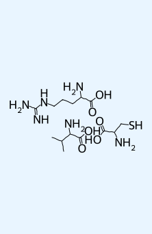 CC(C)C(N)C(=O)O.N=C(N)NCCCC(N)C(=O)O.NC(CS)C(=O)O